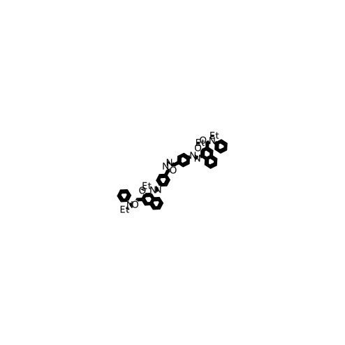 CCOc1c(CON(CC)c2ccccc2)cc2ccccc2c1N=Nc1ccc(-c2nnc(-c3ccc(N=Nc4c(OCC)c(C(=O)N(CC)c5ccccc5)cc5ccccc45)cc3)o2)cc1